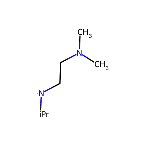 CC(C)[N]CCN(C)C